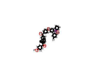 COc1ccc(C(=O)C23CC4C5CC6(C(=O)c7ccc(Oc8ccc(P(=O)(c9ccccc9)c9ccc(C)cc9)cc8)cc7)CC4C(C2)C(C6)C5C3)cc1